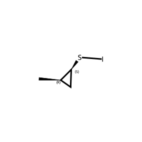 C[C@@H]1C[C@@H]1SI